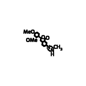 COc1ccc(-c2cc3ccc(N4CCN[C@@H](C)C4)cc3c(=O)o2)c(OC)c1